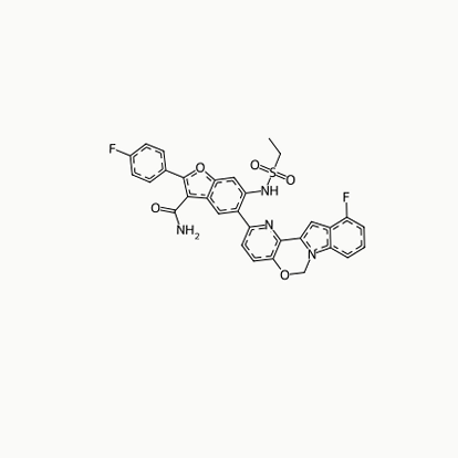 CCS(=O)(=O)Nc1cc2oc(-c3ccc(F)cc3)c(C(N)=O)c2cc1-c1ccc2c(n1)-c1cc3c(F)cccc3n1CO2